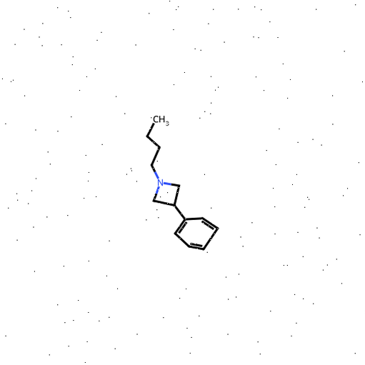 CCCCN1CC(c2ccccc2)C1